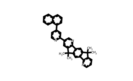 CC1(C)c2cc3c(cc2-c2ncccc21)C(C)(C)c1cc(-c2cc(-c4cccc5ccccc45)ccn2)cnc1-3